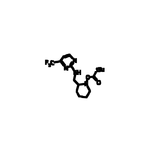 CC(C)(C)C(=O)ON1CCCCC1CNc1nccc(C(F)(F)F)n1